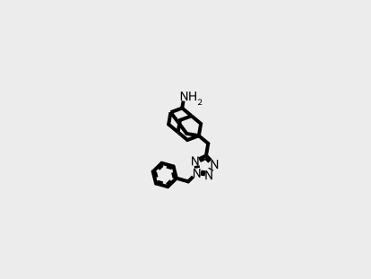 NC1C2CC3CC1CC(Cc1nnn(Cc4ccccc4)n1)(C3)C2